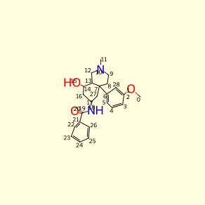 COc1cccc(C23CCN(C)CC2C(O)CC(NC(=O)c2ccccc2)C3)c1